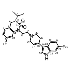 CC(C)N1Cc2ccc(F)cc2N(CCN2CC=C(c3c[nH]c4cc(F)ccc34)CC2)S1(=O)=O